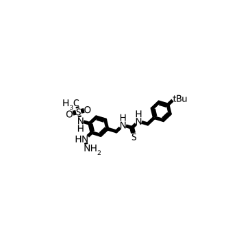 CC(C)(C)c1ccc(CNC(=S)NCc2ccc(NS(C)(=O)=O)c(NN)c2)cc1